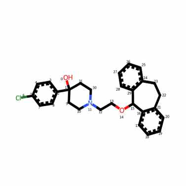 OC1(c2ccc(Cl)cc2)CCN(CCOC2c3ccccc3CCc3ccccc32)CC1